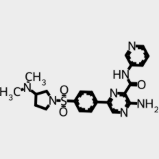 CN(C)C1CCN(S(=O)(=O)c2ccc(-c3cnc(N)c(C(=O)Nc4cccnc4)n3)cc2)C1